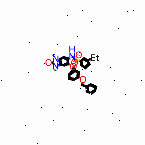 CCc1cccc(S(=O)(=O)Nc2cc3c(cc2Oc2cccc(OCc4ccccc4)c2)n(C)c(=O)n3C)c1